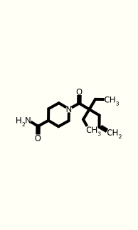 C=CCC(CC)(CC)C(=O)N1CCC(C(N)=O)CC1